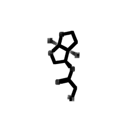 [2H]CC(=O)O[C@H]1CO[C@H]2OCC[C@H]21